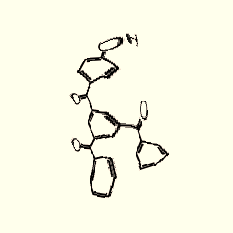 O=C(c1ccccc1)c1cc(C(=O)c2ccccc2)cc(C(=O)c2ccc(O)cc2)c1